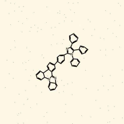 C1=CC2c3ccc(-c4ccc(-c5nc(-c6ccccc6)c(-c6ccccc6)n5-c5ccccc5)cc4)cc3-c3nc4ccccc4n3C2C=C1